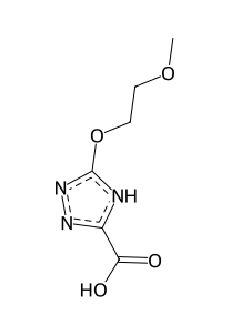 COCCOc1nnc(C(=O)O)[nH]1